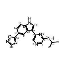 CC(C)Nc1cncc(-c2c[nH]c3ccc(-c4ncno4)cc23)n1